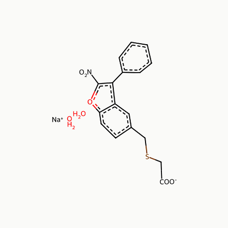 O.O.O=C([O-])CSCc1ccc2oc([N+](=O)[O-])c(-c3ccccc3)c2c1.[Na+]